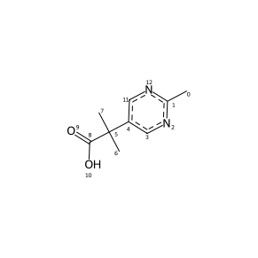 Cc1ncc(C(C)(C)C(=O)O)cn1